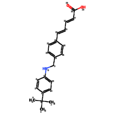 CC(C)(C)c1ccc(NCc2ccc(C=CC=CC(=O)O)cc2)cc1